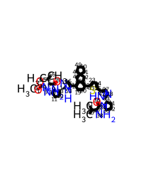 COC(=O)N(N)[C@H](C(=O)N1CCC[C@H]1c1ncc(-c2ccc(-c3ccc(-c4cnc([C@@H]5CCCN5C(=O)[C@@H](N)C(C)C)[nH]4)s3)c3c2CC2(CCCC2)C3)[nH]1)C(C)C